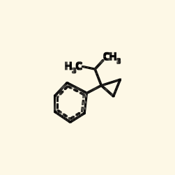 CC(C)C1(c2ccccc2)CC1